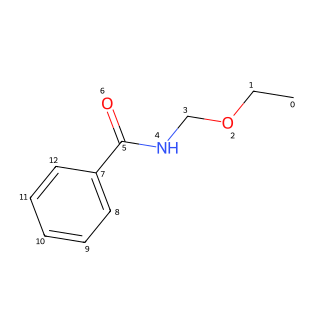 CCOCNC(=O)c1ccccc1